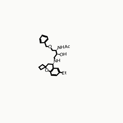 CCc1ccc2c(c1)[C@@H](NC[C@H](O)[C@H](COCc1ccccc1)NC(C)=O)CC1(CCC1)O2